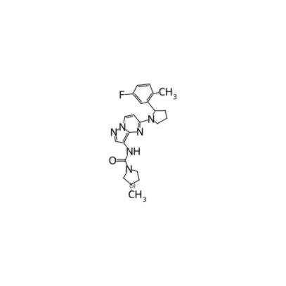 Cc1ccc(F)cc1C1CCCN1c1ccn2ncc(NC(=O)N3CC[C@H](C)C3)c2n1